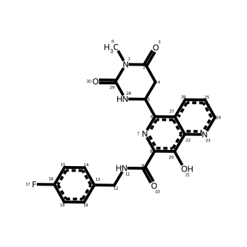 CN1C(=O)CC(c2nc(C(=O)NCc3ccc(F)cc3)c(O)c3ncccc23)NC1=O